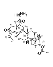 CC(=O)O[C@H]1CC[C@]2(C)[C@H]3CC[C@@H]4C5=C(C(C)C)C(=O)C[C@]5(CC(=O)NN)CC[C@@]4(C)[C@]3(C)CC[C@H]2C1(C)C